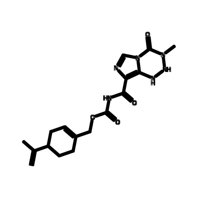 C=C(C)C1CC=C(COC(=O)NC(=O)c2ncn3c2NNN(C)C3=O)CC1